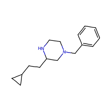 c1ccc(CN2CCNC(CCC3CC3)C2)cc1